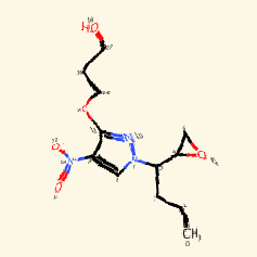 CCCC(C1CO1)n1cc([N+](=O)[O-])c(OCCCO)n1